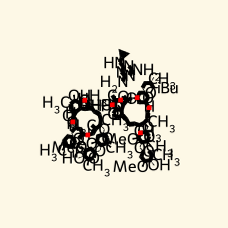 CC[C@H](C)[C@H]1O[C@]2(CC[C@@H]1C)C[C@@H]1C[C@@H](C/C=C(\C)[C@@H](O[C@H]3C[C@H](OC)[C@@H](O[C@H]4C[C@H](OC)[C@@H](O)[C@H](C)O4)[C@H](C)O3)[C@@H](C)/C=C/C=C3\CO[C@@H]4[C@H](O)C(C)=C[C@@H](C(=O)O1)[C@]34O)O2.CO[C@H]1C[C@H](O[C@H]2[C@H](C)O[C@@H](O[C@@H]3/C(C)=C/C[C@@H]4C[C@@H](C[C@]5(CC[C@H](C)[C@@H](C(C)C)O5)O4)OC(=O)[C@@H]4C=C(C)[C@@H](O)[C@H]5OC/C(=C\C=C\[C@@H]3C)[C@]54O)C[C@@H]2OC)O[C@@H](C)[C@@H]1O.Nc1nc(N)nc(NC2CC2)n1